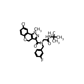 Cn1nc(C(=O)N(CC(=O)NC(C)(C)C)Cc2cccc(F)c2)c2c1-c1cc(Cl)ccc1OC2